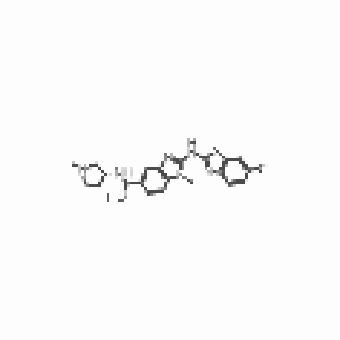 CN1CC[C@@H](NC(O)c2ccc3c(c2)nc(Nc2nc4ccc(Cl)cc4s2)n3C)C1